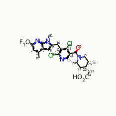 Cc1cc(C(F)(F)F)nc2c1cc(Cc1c(Cl)ncc(C(=O)N3CC[C@@H](CC(=O)O)[C@@H](C)C3)c1Cl)n2C